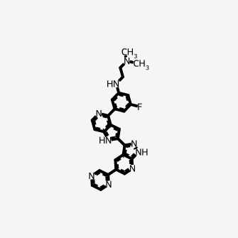 CN(C)CCNc1cc(F)cc(-c2nccc3[nH]c(-c4n[nH]c5ncc(-c6cnccn6)cc45)cc23)c1